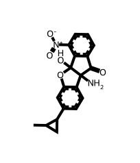 CC1CC1c1ccc2c(c1)OC1(O)c3c(cccc3[N+](=O)[O-])C(=O)C21N